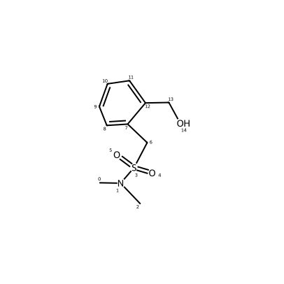 CN(C)S(=O)(=O)Cc1ccccc1CO